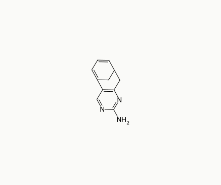 Nc1ncc2c(n1)CC1C=CC=C2C1